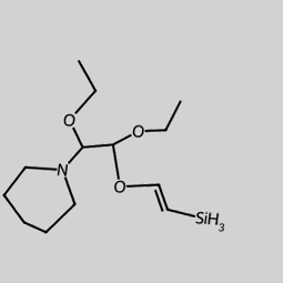 CCOC(OC=C[SiH3])C(OCC)N1CCCCC1